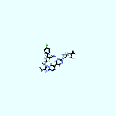 CCc1nc2ccc(-c3cnc(N4CC(NC5(CO)CC5)C4)nc3)cn2c1N(C)c1nc(-c2ccc(F)cc2)c(C#N)s1